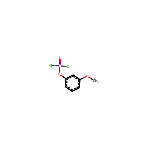 COc1cccc(OP(=O)(Cl)Cl)c1